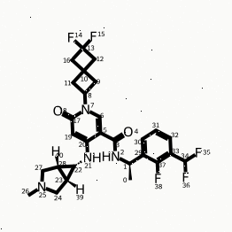 C[C@@H](NC(=O)c1cn(C2CC3(C2)CC(F)(F)C3)c(=O)cc1N[C@@H]1[C@@H]2CN(C)C[C@@H]21)c1cccc(C(F)F)c1F